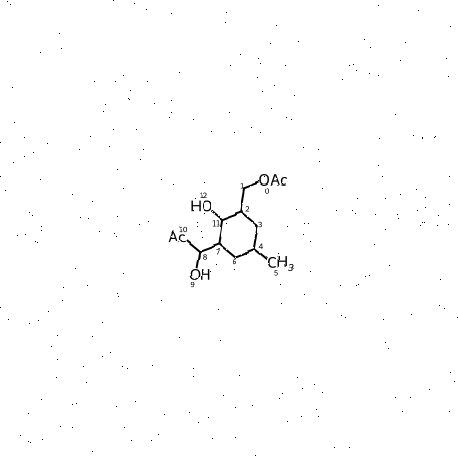 CC(=O)OCC1CC(C)CC(C(O)C(C)=O)C1O